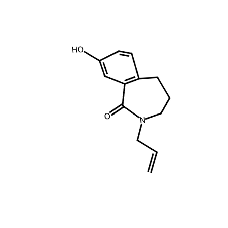 C=CCN1CCCc2ccc(O)cc2C1=O